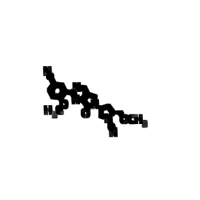 COC[C@@H]1C[C@@H](N2Cc3cnc(-c4cc(C#N)ccc4OC)nc3C2=O)CN1C#N